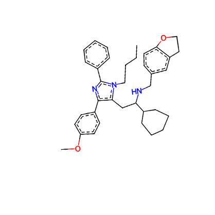 CCCCn1c(-c2ccccc2)nc(-c2ccc(OC)cc2)c1CC(NCc1ccc2c(c1)CCO2)C1CCCCC1